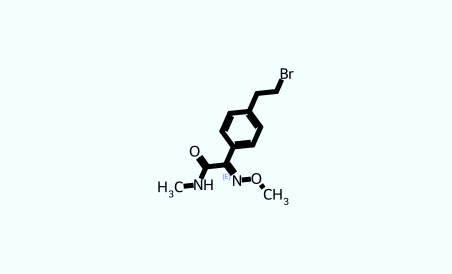 CNC(=O)/C(=N/OC)c1ccc(CCBr)cc1